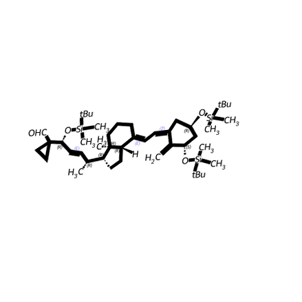 C=C1/C(=C\C=C2/CCC[C@]3(C)[C@@H]([C@H](C)/C=C/[C@@H](O[Si](C)(C)C(C)(C)C)C4(C=O)CC4)CC[C@@H]23)C[C@@H](O[Si](C)(C)C(C)(C)C)C[C@@H]1O[Si](C)(C)C(C)(C)C